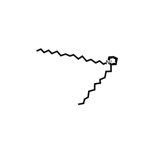 CCCCCCCCCCCCCCCCC[n+]1ccccc1CCCCCCCCCCCC